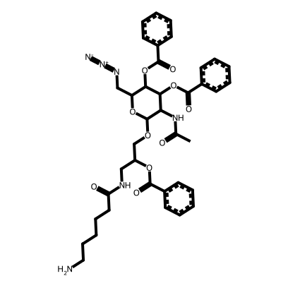 CC(=O)NC1C(OCC(CNC(=O)CCCCCN)OC(=O)c2ccccc2)OC(CN=[N+]=[N-])C(OC(=O)c2ccccc2)C1OC(=O)c1ccccc1